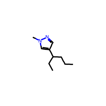 CCCC(CC)c1cnn(C)c1